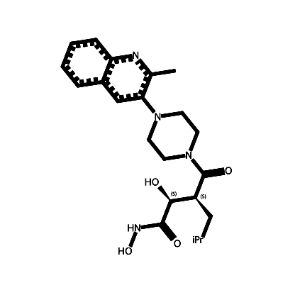 Cc1nc2ccccc2cc1N1CCN(C(=O)[C@@H](CC(C)C)[C@H](O)C(=O)NO)CC1